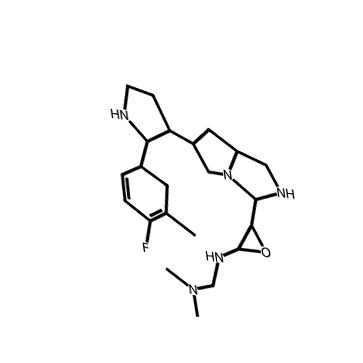 CC1=C(F)C=CC(C2NCCC2C2CC3CNC(C4OC4NCN(C)C)N3C2)C1